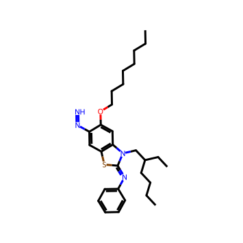 CCCCCCCCOc1cc2c(cc1N=N)sc(=Nc1ccccc1)n2CC(CC)CCCC